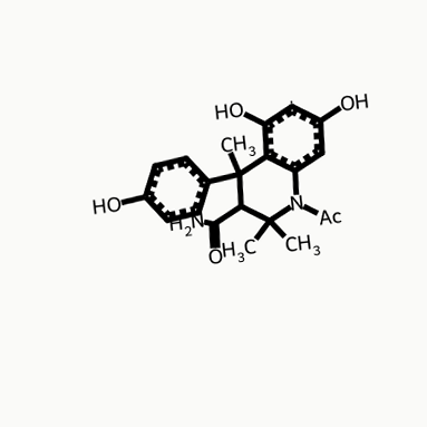 CC(=O)N1c2cc(O)[c]c(O)c2C(C)(c2ccc(O)cc2)C(C(N)=O)C1(C)C